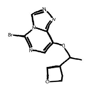 CC(Oc1cnc(Br)n2cnnc12)C1COC1